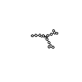 c1ccc(-c2ccc(-c3ccc4c(c3)Cc3cc(-n5c6ccc(-c7ccc(-c8cc9ccccc9c9ccccc89)cc7)cc6c6cc(-c7ccc(-c8cc9ccccc9c9ccccc89)cc7)ccc65)ccc3-4)cc2)cc1